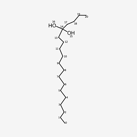 CCCCCCCCCCCCCCC(O)(O)CCCC